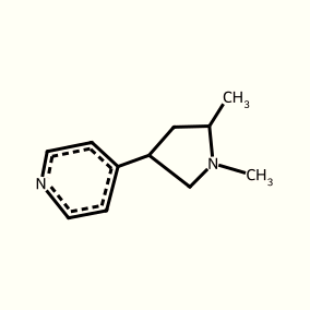 CC1CC(c2ccncc2)CN1C